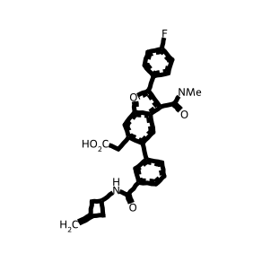 C=C1CC(NC(=O)c2cccc(-c3cc4c(C(=O)NC)c(-c5ccc(F)cc5)oc4cc3CC(=O)O)c2)C1